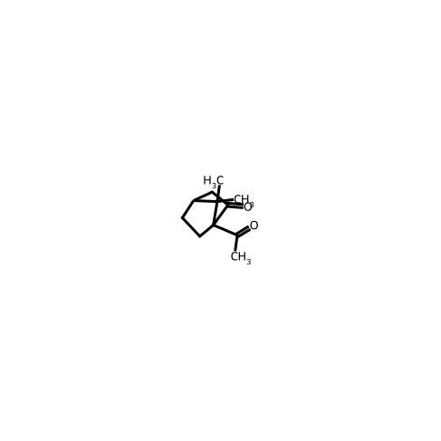 CC(=O)C12CCC(CC1=O)C2(C)C